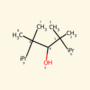 CC(C)C(C)(C)C(O)C(C)(C)C(C)C